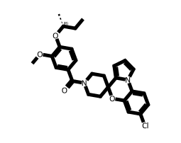 CC[C@@H](C)Oc1ccc(C(=O)N2CCC3(CC2)Oc2cc(Cl)ccc2-n2cccc23)cc1OC